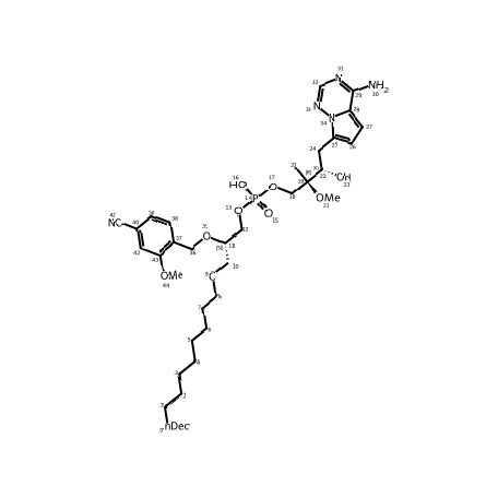 CCCCCCCCCCCCCCCCCCOC[C@@H](COP(=O)(O)OC[C@@](C)(OC)[C@@H](O)Cc1ccc2c(N)ncnn12)OCc1ccc(C#N)cc1OC